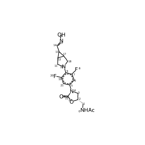 CC(=O)NC[C@H]1CN(c2cc(F)c(N3CC4C(C=NO)C4C3)c(F)c2)C(=O)O1